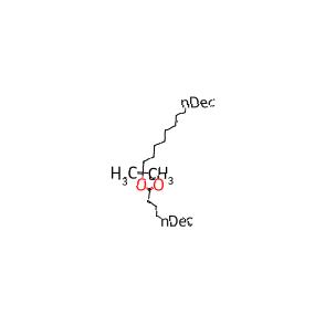 CCCCCCCCCCCCCCCCCCC(C)(C)OC(=O)CCCCCCCCCCCCC